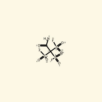 NC(=O)C(S(=O)(=O)F)(S(=O)(=O)F)S(=O)(=O)F